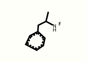 CC(Cc1ccccc1)NF